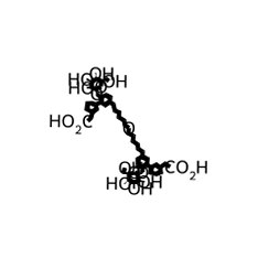 O=C(O)Cc1cccc(-c2cc(CCCCCCOCCCCCCc3ccc(O[C@@H]4O[C@H](CO)[C@@H](O)[C@H](O)[C@@H]4O)c(-c4cccc(CC(=O)O)c4)c3)ccc2O[C@@H]2O[C@H](CO)[C@@H](O)[C@H](O)[C@@H]2O)c1